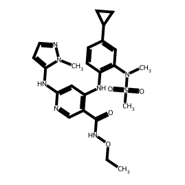 CCONC(=O)c1cnc(Nc2ccnn2C)cc1Nc1ccc(C2CC2)cc1N(C)S(C)(=O)=O